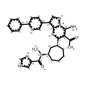 CC(=O)c1c([C@H]2CCCC[C@@H](N(C)C(=O)c3c[nH]cn3)C2)nc2c(-c3ccc(-c4ccccc4)nc3)cnn2c1N